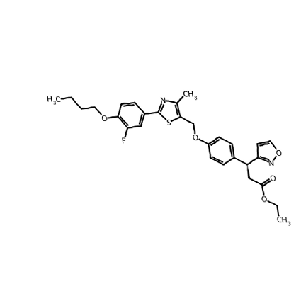 CCCCOc1ccc(-c2nc(C)c(COc3ccc([C@H](CC(=O)OCC)c4ccon4)cc3)s2)cc1F